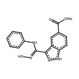 COC(=O)c1ccc2[nH]nc(C(=NO)Nc3ccccc3)c2c1